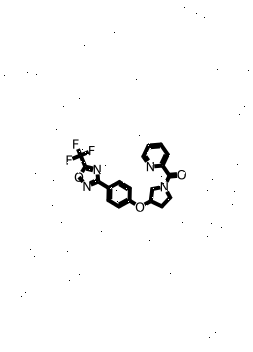 O=C(c1ccccn1)N1CCC(Oc2ccc(-c3noc(C(F)(F)F)n3)cc2)C1